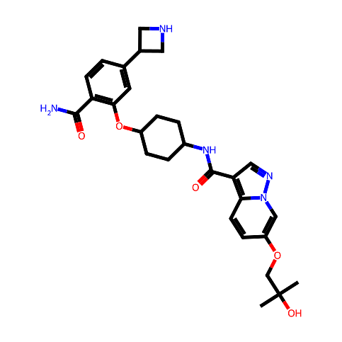 CC(C)(O)COc1ccc2c(C(=O)NC3CCC(Oc4cc(C5CNC5)ccc4C(N)=O)CC3)cnn2c1